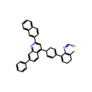 CC/C=N\C1=C(C)CCC=C1C1=CCC(c2cc(-c3ccc4ccccc4c3)nc3cc(-c4ccccc4)ccc23)C=C1